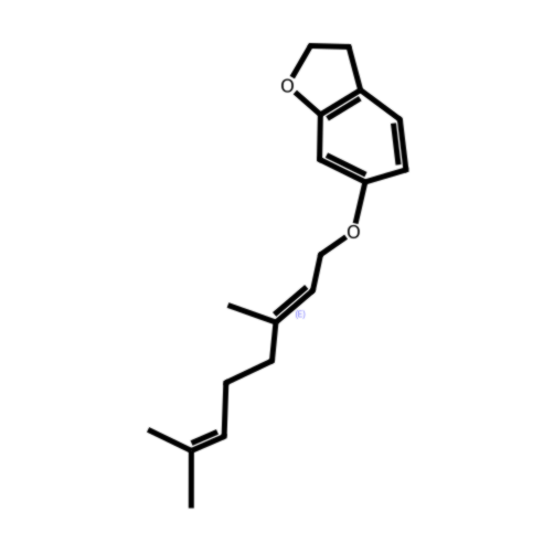 CC(C)=CCC/C(C)=C/COc1ccc2c(c1)OCC2